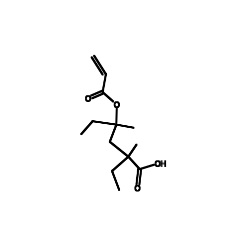 C=CC(=O)OC(C)(CC)CC(C)(CC)C(=O)O